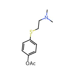 CC(=O)Oc1ccc(SCCN(C)C)cc1